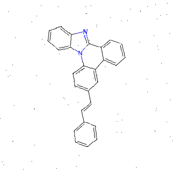 C(=C\c1ccc2c(c1)c1ccccc1c1nc3ccccc3n21)/c1ccccc1